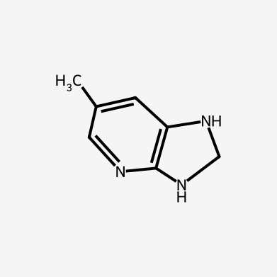 Cc1cnc2c(c1)NCN2